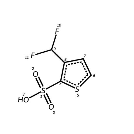 O=S(=O)(O)c1sccc1C(F)F